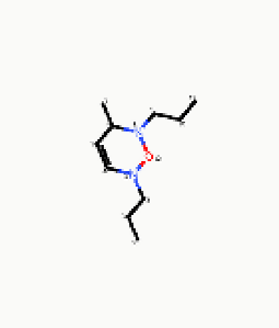 CCCN1C=CC(C)N(CCC)O1